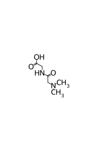 CN(C)CC(=O)NCC(=O)O